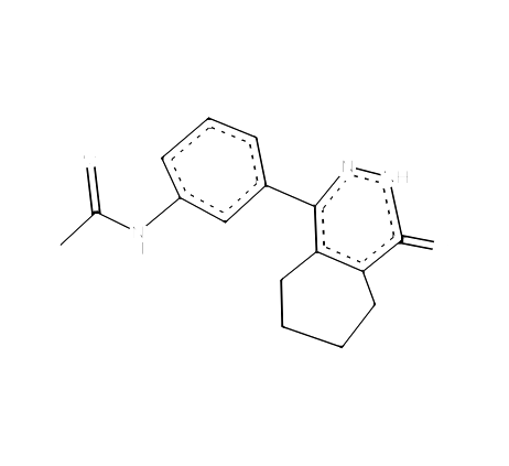 CC(=O)Nc1cccc(-c2n[nH]c(=O)c3c2CCCC3)c1